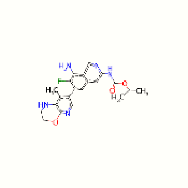 Cc1c(-c2cc3cc(NC(=O)OC(C)C)ncc3c(N)c2F)cnc2c1NCCO2